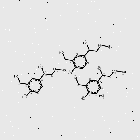 CC(C)(C)NCC(O)c1ccc(O)c(CO)c1.CC(C)(C)NC[C@H](O)c1ccc(O)c(CO)c1.CC(C)(C)NC[C@H](O)c1ccc(O)c(CO)c1.Cl